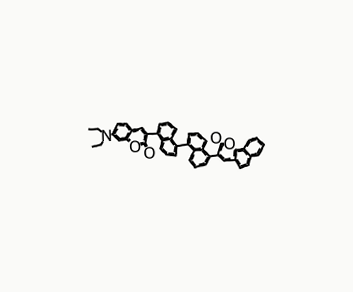 CCN(CC)c1ccc2cc(-c3cccc4c(-c5cccc6c(-c7cc8ccc9ccccc9c8oc7=O)cccc56)cccc34)c(=O)oc2c1